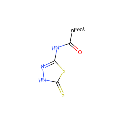 CCCCCC(=O)Nc1n[nH]c(=S)s1